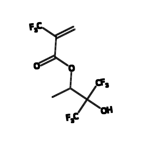 C=C(C(=O)OC(C)C(O)(C(F)(F)F)C(F)(F)F)C(F)(F)F